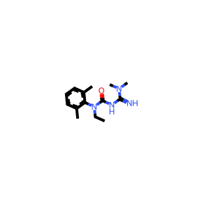 CCN(C(=O)NC(=N)N(C)C)c1c(C)cccc1C